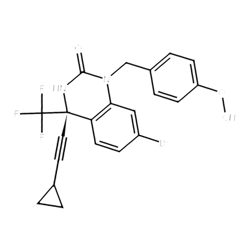 COc1ccc(CN2C(=O)N[C@@](C#CC3CC3)(C(F)(F)F)c3ccc(Br)cc32)cc1